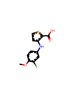 COc1ccc(Nc2ccsc2C(=O)O)cc1F